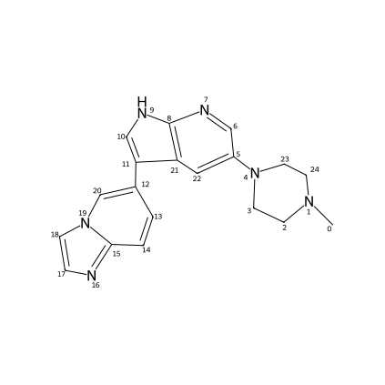 CN1CCN(c2cnc3[nH]cc(-c4ccc5nccn5c4)c3c2)CC1